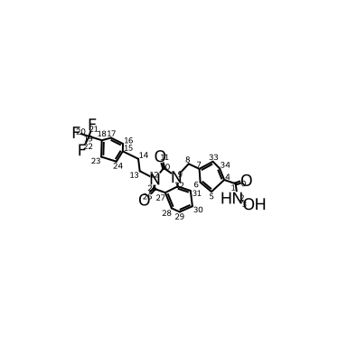 O=C(NO)c1ccc(Cn2c(=O)n(CCc3ccc(C(F)(F)F)cc3)c(=O)c3ccccc32)cc1